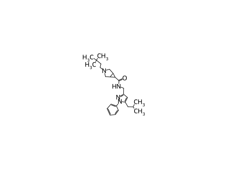 CC(C)Cc1cc(CNC(=O)C2C3CN(CCC(C)(C)C)CC32)nn1-c1ccccc1